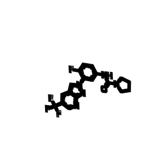 O=C(Nc1ccc(F)c(-n2cc3cc(C(F)(F)F)cnc3n2)c1)N1CCCC1